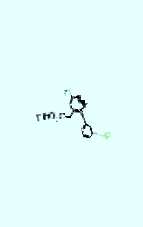 CCOC(=O)Cc1cc(Cl)ccc1-c1cccc(F)c1